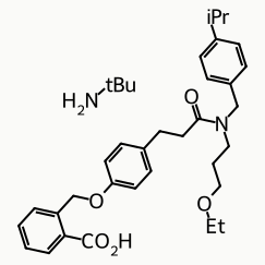 CC(C)(C)N.CCOCCCN(Cc1ccc(C(C)C)cc1)C(=O)CCc1ccc(OCc2ccccc2C(=O)O)cc1